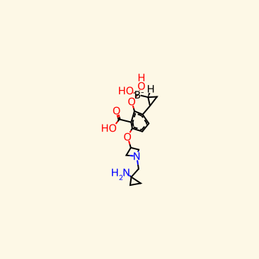 NC1(CN2CC(Oc3ccc4c(c3C(=O)O)O[B-](O)(O)[C@@H]3CC43)C2)CC1